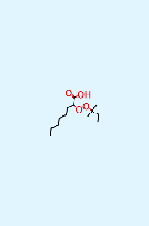 CCCCCCC(OOC(C)(C)CC)C(=O)O